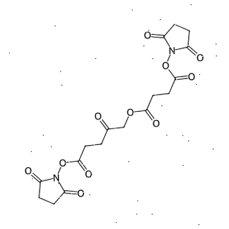 O=C(CCC(=O)ON1C(=O)CCC1=O)COC(=O)CCC(=O)ON1C(=O)CCC1=O